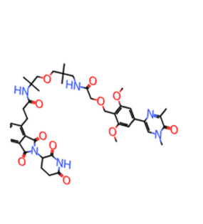 COc1cc(-c2cn(C)c(=O)c(C)n2)cc(OC)c1COCC(=O)NCC(C)(C)COCC(C)(C)NC(=O)CCc1cccc2c1C(=O)N(C1CCC(=O)NC1=O)C2=O